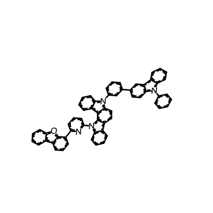 c1ccc(-n2c3ccccc3c3cc(-c4cccc(-n5c6ccccc6c6c5ccc5c7ccccc7n(-c7cccc(-c8cccc9c8oc8ccccc89)n7)c56)c4)ccc32)cc1